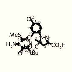 CC1(C(=O)O)CC(C(=O)O)=NN1c1ccc(Cl)cc1Cl.CSc1nnc(C(C)(C)C)c(=O)n1N